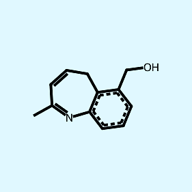 CC1=Nc2cccc(CO)c2CC=C1